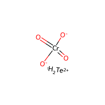 [O]=[Cr](=[O])([O-])[O-].[TeH2+2]